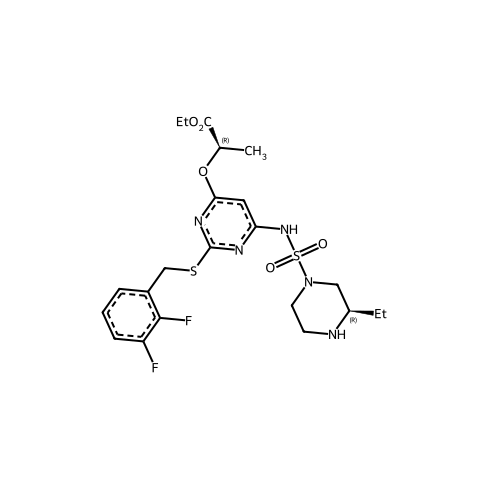 CCOC(=O)[C@@H](C)Oc1cc(NS(=O)(=O)N2CCN[C@H](CC)C2)nc(SCc2cccc(F)c2F)n1